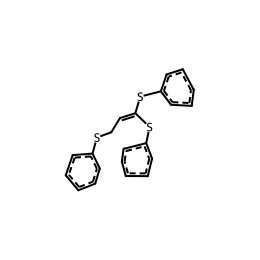 C(CSc1ccccc1)=C(Sc1ccccc1)Sc1ccccc1